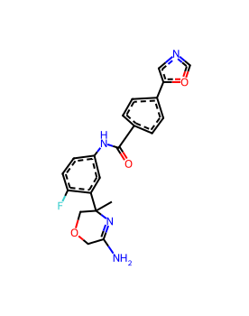 CC1(c2cc(NC(=O)c3ccc(-c4cnco4)cc3)ccc2F)COCC(N)=N1